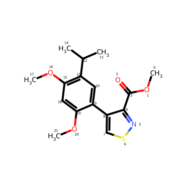 COC(=O)c1nscc1-c1cc(C(C)C)c(OC)cc1OC